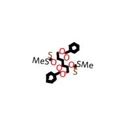 CSC(=S)O[C@@H]1COC(c2ccccc2)O[C@H]1[C@@H]1OC(c2ccccc2)OC[C@H]1OC(=S)SC